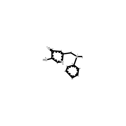 CN(Cc1cc(=O)c(O)co1)c1ccccc1